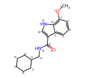 COc1cccc2c(C(=O)NCC3CCCCC3)c[nH]c12